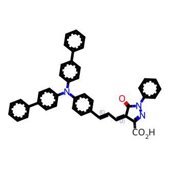 O=C(O)C1=NN(c2ccccc2)C(=O)/C1=C\C=C\c1ccc(N(c2ccc(-c3ccccc3)cc2)c2ccc(-c3ccccc3)cc2)cc1